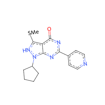 CSc1[nH]n(C2CCCC2)c2nc(-c3ccncc3)nc(=O)c1-2